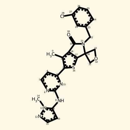 Cc1c(-c2ccnc(Nc3ccnn3C)n2)sc2c1C(=O)N(Cc1cccc(Cl)c1)C21COC1